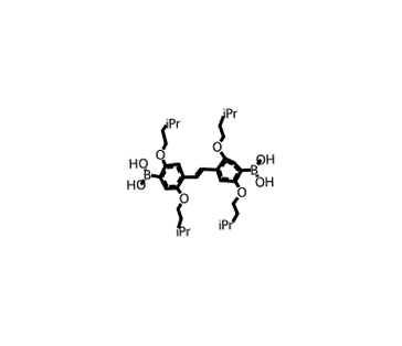 CC(C)CCOc1cc(B(O)O)c(OCCC(C)C)cc1/C=C/c1cc(OCCC(C)C)c(B(O)O)cc1OCCC(C)C